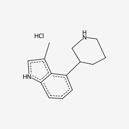 Cc1c[nH]c2cccc(C3CCCNC3)c12.Cl